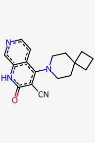 N#Cc1c(N2CCC3(CCC3)CC2)c2ccncc2[nH]c1=O